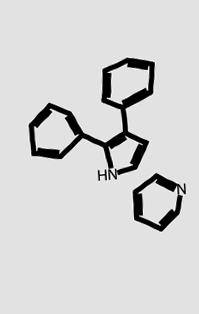 c1ccc(-c2cc[nH]c2-c2ccccc2)cc1.c1ccncc1